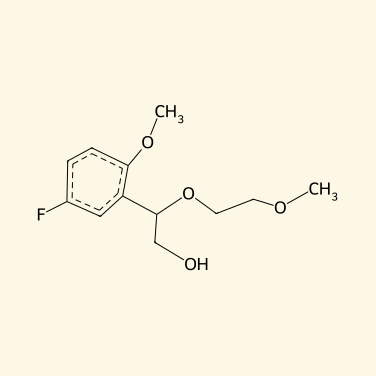 COCCOC(CO)c1cc(F)ccc1OC